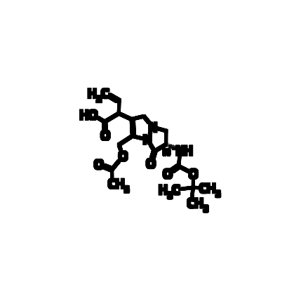 C=CC(C(=O)O)C1=C(COC(C)=O)N2C(=O)[C@@H](NC(=O)OC(C)(C)C)CN2C1